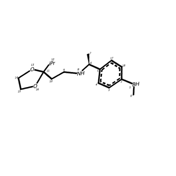 CBc1ccc([C@H](C)NCCC2(C(C)C)OCCO2)cc1